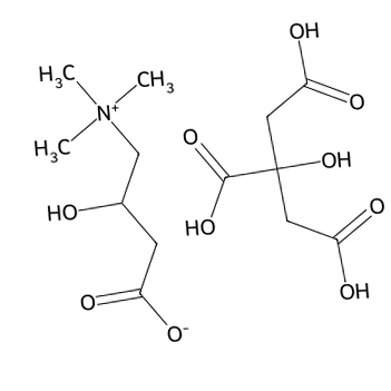 C[N+](C)(C)CC(O)CC(=O)[O-].O=C(O)CC(O)(CC(=O)O)C(=O)O